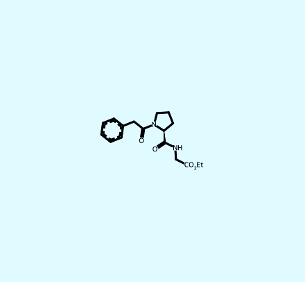 CCOC(=O)CNC(=O)[C@@H]1CCCN1C(=O)Cc1ccccc1